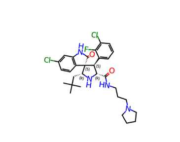 CC(C)(C)C[C@H]1N[C@@H](C(=O)NCCCN2CCCC2)[C@H](c2cccc(Cl)c2F)[C@@]12C(=O)Nc1cc(Cl)ccc12